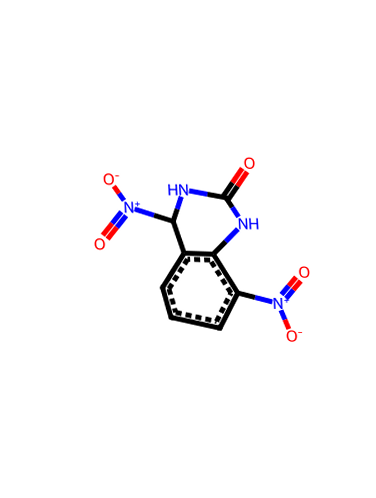 O=C1Nc2c(cccc2[N+](=O)[O-])C([N+](=O)[O-])N1